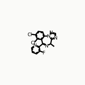 CC1N=C(c2ncccc2F)c2c(ccc(Cl)c2Cl)-n2ncnc21